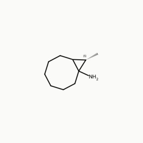 C[C@H]1C2CCCCCCC21N